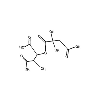 O=C(O)CC(O)(O)C(=O)OC(C(=O)O)C(O)C(=O)O